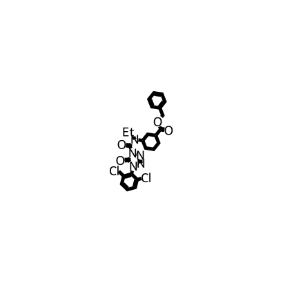 CCN(C(=O)n1nnn(-c2c(Cl)cccc2Cl)c1=O)C1CCCC(C(=O)OCc2ccccc2)C1